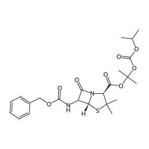 CC(C)OC(=O)OC(C)(C)OC(=O)[C@@H]1N2C(=O)C(NC(=O)OCc3ccccc3)[C@H]2SC1(C)C